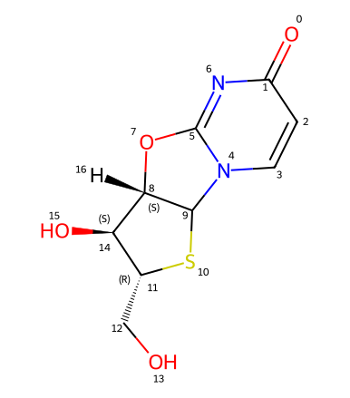 O=c1ccn2c(n1)O[C@@H]1C2S[C@H](CO)[C@H]1O